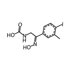 Cc1cc(C(CNC(=O)O)=NO)ccc1I